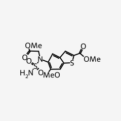 COC(=O)CN(c1cc2cc(C(=O)OC)sc2cc1OC)S(N)(=O)=O